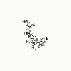 CC1(C)OC(=C2C(=O)Nc3cc(F)ccc32)C=C1c1ccc(NCCN(CCO)CCO)nc1